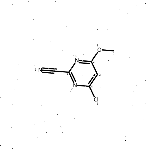 COc1cc(Cl)nc(C#N)n1